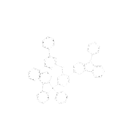 c1ccc(-c2cc(-c3ccccc3)nc(Nc3cc(C4(c5ccccc5)c5ccccc5-c5ccccc54)ccc3-c3ccc4c(c3)c3ccccc3n4-c3ccccc3)n2)cc1